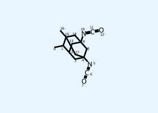 CC1C2CC3(N=C=O)CC(N=C=O)(C2)CC1(C)C3